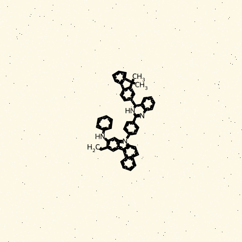 C=Cc1cc2c3c4ccccc4ccc3n(-c3ccc(C4=Nc5ccccc5C(c5ccc6c(c5)C(C)(C)c5ccccc5-6)N4)cc3)c2cc1Nc1ccccc1